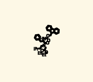 CCOC(CN(CCC(C)C)C(=O)C(Cc1ccccc1)NC(=O)OCC1c2ccccc2-c2ccccc21)OCC